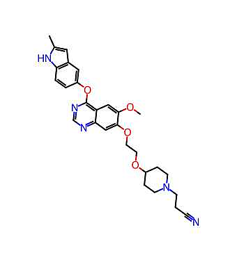 COc1cc2c(Oc3ccc4[nH]c(C)cc4c3)ncnc2cc1OCCOC1CCN(CCC#N)CC1